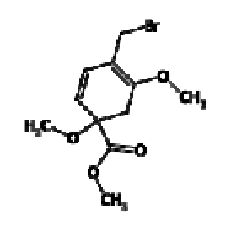 COC(=O)C1(OC)C=CC(CBr)=C(OC)C1